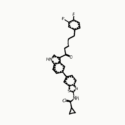 O=C(CCCCc1ccc(F)c(F)c1)c1c[nH]c2ccc(-c3ccc4nc(NC(=O)C5CC5)sc4c3)cc12